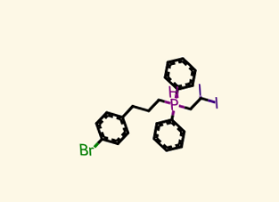 Brc1ccc(CCC[PH](CC(I)I)(c2ccccc2)c2ccccc2)cc1